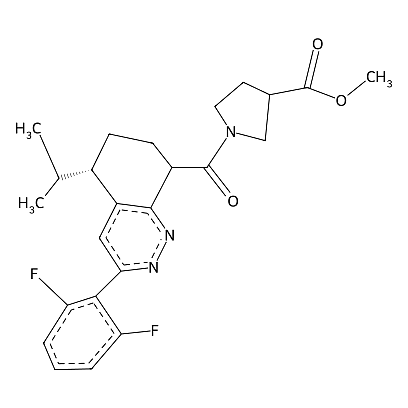 COC(=O)C1CCN(C(=O)C2CC[C@@H](C(C)C)c3cc(-c4c(F)cccc4F)nnc32)C1